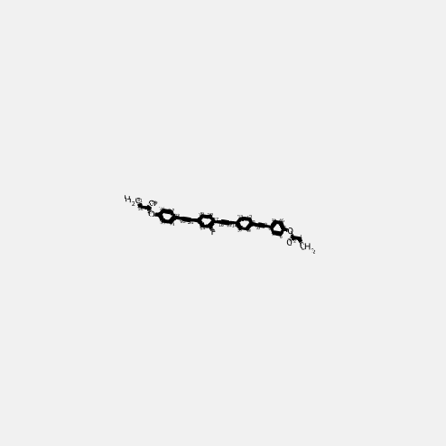 C=CC(=O)Oc1ccc(C#Cc2ccc(C#Cc3ccc(C#Cc4ccc(OC(=O)C=C)cc4)cc3F)cc2)cc1